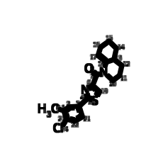 Cc1cc(-c2nc(C(=O)N3CCCC4CCCC=C43)cs2)ccc1Cl